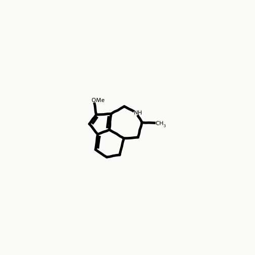 COC1=CC2=CCCC3CC(C)NCC1=C23